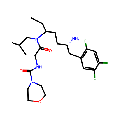 CCC(CC[C@H](N)Cc1cc(F)c(F)cc1F)N(CC(C)C)C(=O)CNC(=O)N1CCOCC1